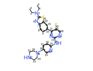 CCN(CC)c1nc2ccc(-c3nc(Nc4ccc(N5CCNCC5)cn4)ncc3F)cc2s1